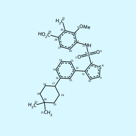 COc1c(NS(=O)(=O)c2sccc2-c2cccc(C3CCC(C)(C)CC3)c2)ccc(C(=O)O)c1C